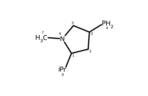 CC(C)C1CC(P)CN1C